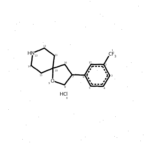 Cl.FC(F)(F)c1cccc(C2COC3(CCNCC3)C2)c1